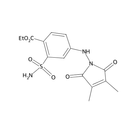 CCOC(=O)c1ccc(NN2C(=O)C(C)=C(C)C2=O)cc1S(N)(=O)=O